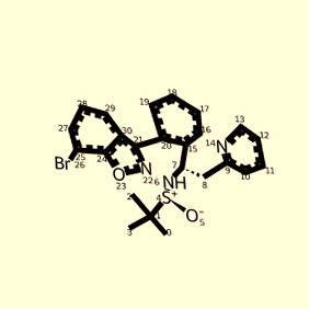 CC(C)(C)[S@+]([O-])N[C@@H](Cc1ccccn1)c1ccccc1-c1noc2c(Br)cccc12